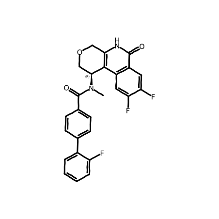 CN(C(=O)c1ccc(-c2ccccc2F)cc1)[C@H]1COCc2[nH]c(=O)c3cc(F)c(F)cc3c21